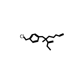 C=CCCCC(C)(Cc1ccc(CCl)cc1)C(=C)CC